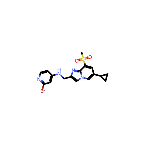 CS(=O)(=O)c1cc(C2CC2)cn2cc(CNc3ccnc(Br)c3)nc12